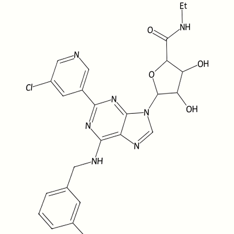 CCNC(=O)C1OC(n2cnc3c(NCc4cccc(Br)c4)nc(-c4cncc(Cl)c4)nc32)C(O)C1O